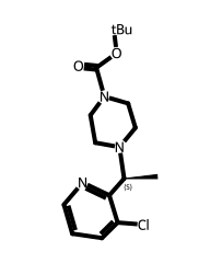 C[C@@H](c1ncccc1Cl)N1CCN(C(=O)OC(C)(C)C)CC1